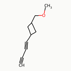 C#CC#CC1CC(COC)C1